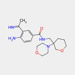 CC(=N)c1cc(C(=O)NCC2(N3CCOCC3)CCCOC2)ccc1N